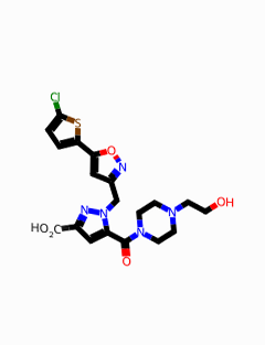 O=C(O)c1cc(C(=O)N2CCN(CCO)CC2)n(Cc2cc(-c3ccc(Cl)s3)on2)n1